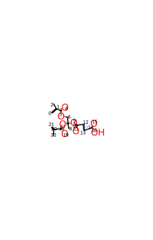 C=C(C)C(=O)OCC(C)(OC(=O)/C=C/C(=O)O)OC(=O)C(=C)C